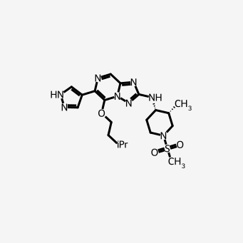 CC(C)CCOc1c(-c2cn[nH]c2)ncc2nc(N[C@H]3CCN(S(C)(=O)=O)C[C@H]3C)nn12